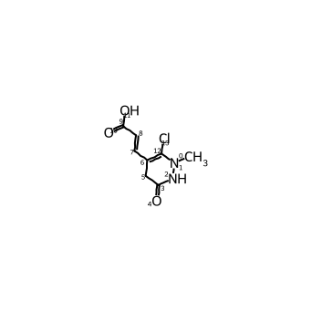 CN1NC(=O)CC(C=CC(=O)O)=C1Cl